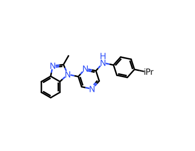 Cc1nc2ccccc2n1-c1cncc(Nc2ccc(C(C)C)cc2)n1